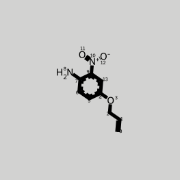 C=CCOc1ccc(N)c([N+](=O)[O-])c1